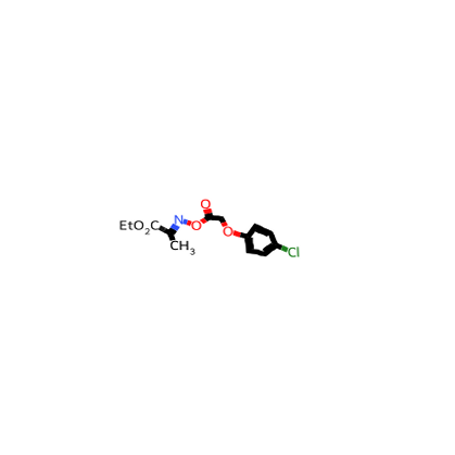 CCOC(=O)C(C)=NOC(=O)COc1ccc(Cl)cc1